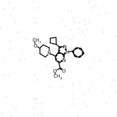 COC(=O)c1cc(N2CCC(OC)CC2)c2c(C3CCC3)nn(-c3ccccc3)c2n1